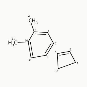 C1=CCC1.Cc1ccccc1C